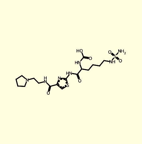 NS(=O)(=O)NCCCCC(NC(=O)O)C(=O)Nc1nc(C(=O)NCCN2CCCC2)cs1